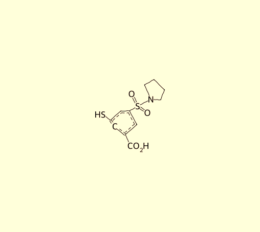 O=C(O)c1cc(S)cc(S(=O)(=O)N2CCCC2)c1